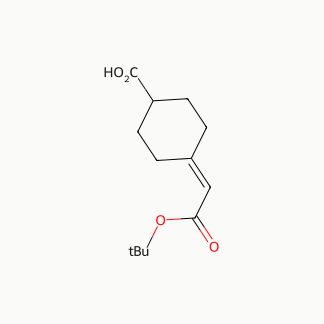 CC(C)(C)OC(=O)C=C1CCC(C(=O)O)CC1